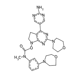 CN(C(=O)ON1CCc2c(-c3cnc(N)nc3)nc(N3CCOCC3)nc21)c1cccc(N2CCOCC2)c1